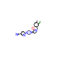 CC1=CCC=C(CN2CC[C@@H](N3CCN(c4ccc(C#N)cn4)CC3)C2=O)C=C1F